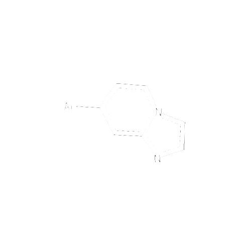 CC(=O)c1ccn2ccnc2c1